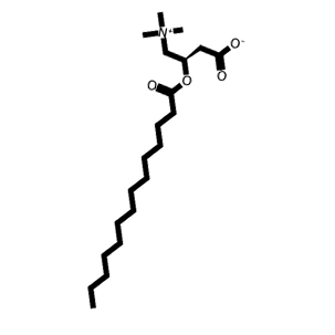 CCCCCCCCCCCCCC(=O)O[C@H](CC(=O)[O-])C[N+](C)(C)C